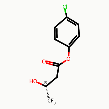 O=C(C[C@@H](O)C(F)(F)F)Oc1ccc(Cl)cc1